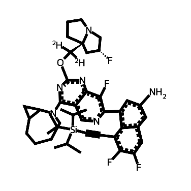 [2H]C([2H])(Oc1nc(N2CCCCC3CC32)c2cnc(-c3cc(N)cc4cc(F)c(F)c(C#C[Si](C(C)C)(C(C)C)C(C)C)c34)c(F)c2n1)[C@@]12CCCN1C[C@H](F)C2